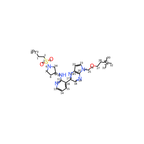 CC(C)CCS(=O)(=O)N1CC[C@@H](Nc2ncccc2-c2cnc3c(ccn3COCC[Si](C)(C)C)n2)C1